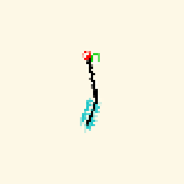 O=C(Cl)CCCCCCCCC=CC(F)(F)C(F)(F)C(F)(F)C(F)(F)C(F)(F)C(F)(F)F